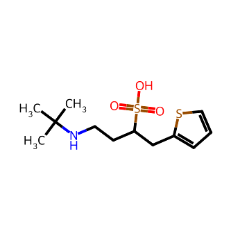 CC(C)(C)NCCC(Cc1cccs1)S(=O)(=O)O